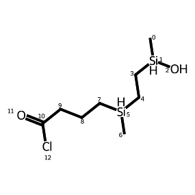 C[SiH](O)CC[SiH](C)CCCC(=O)Cl